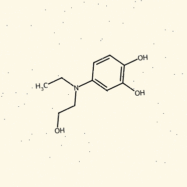 CCN(CCO)c1ccc(O)c(O)c1